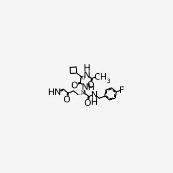 CC(=O)N[C@H](C(=O)N[C@@H](CCC(=O)C=N)C(=O)NCc1ccc(F)cc1)C1CCC1